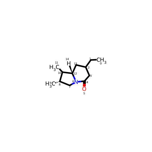 CCC1CC(=O)N2C[C@H](C)C(C)[C@@H]2C1